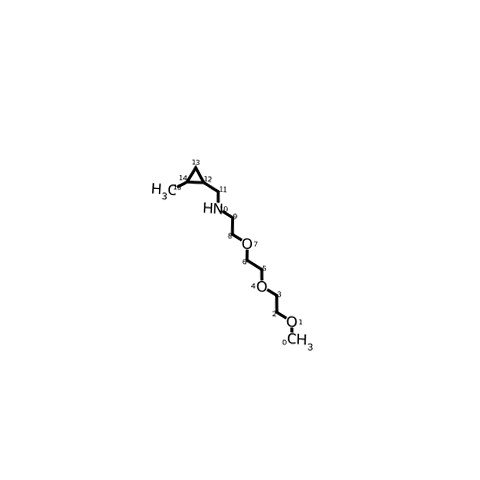 COCCOCCOCCNCC1CC1C